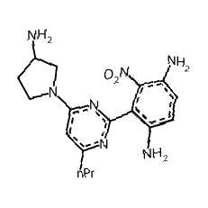 CCCc1cc(N2CCC(N)C2)nc(-c2c(N)ccc(N)c2[N+](=O)[O-])n1